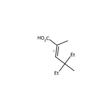 CCC(C)(/C=C(\C)C(=O)O)CC